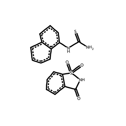 NC(=S)Nc1cccc2ccccc12.O=C1NS(=O)(=O)c2ccccc21